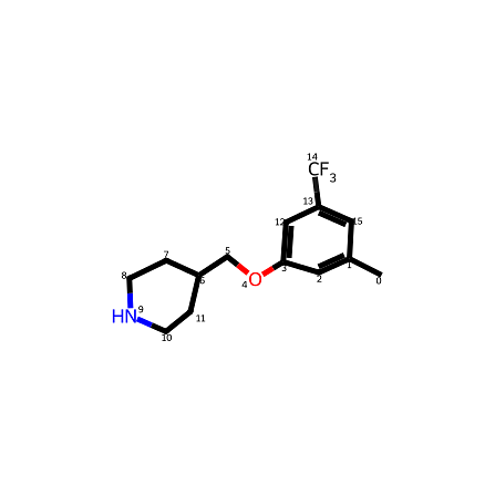 Cc1cc(OCC2CCNCC2)cc(C(F)(F)F)c1